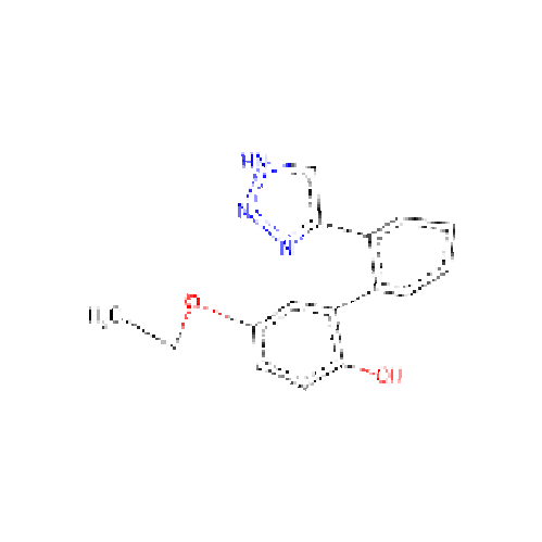 CCOc1ccc(O)c(-c2ccccc2-c2c[nH]nn2)c1